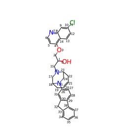 O[C@H](COc1ccnc2cc(Cl)ccc12)CN1CC2CC=CCC1CN2c1ccc2c(c1)Cc1ccccc1-2